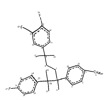 COc1ccc(C(C)(CCC(C)(C)c2ccc(F)c(F)c2)C(C)(C)c2ccc(F)cc2)cc1